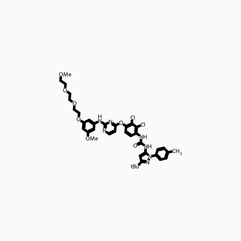 COCCOCCOCCOc1cc(Nc2nccc(Oc3ccc(NC(=O)Nc4cc(C(C)(C)C)nn4-c4ccc(C)cc4)c(Cl)c3Cl)n2)cc(OC)c1